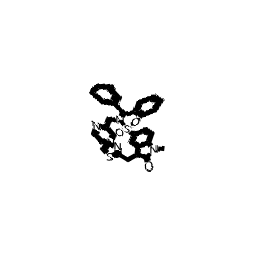 CN1C(=O)/C(=C/c2nccs2)c2cc(S(=O)(=O)N(Cc3cnccn3)C(c3ccccc3)c3ccccc3)ccc21